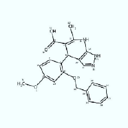 COc1ccc(C2C(C(=O)O)=C(C)Nc3[nH]ncc32)c(OCc2ccccc2)c1